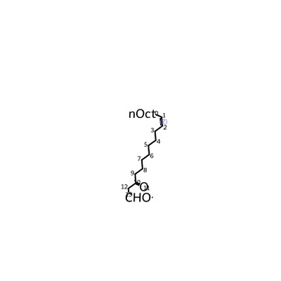 CCCCCCCC/C=C\CCCCCCCC(=O)C[C]=O